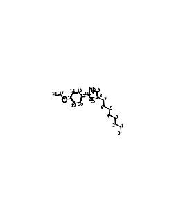 CCCCCCCCc1cnc(-c2ccc(OCC)cc2)s1